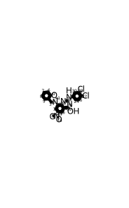 O=CN(Cc1ccccc1)c1cc([N+](=O)[O-])cc2c(O)nc(Nc3ccc(Cl)c(Cl)c3)nc12